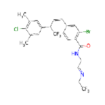 Cc1cc(C(/C=C\c2ccc(C(=O)NC/C=N/CC(F)(F)F)c(Br)c2)C(F)(F)F)cc(C)c1Cl